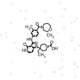 CCC1(n2nc(Nc3ccc(C(=O)N4CCCO[C@H](C)C4)c(C)c3)c3c(=O)[nH]ccc32)CCN(C(=O)O)CC1